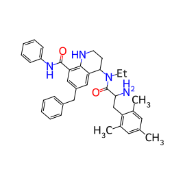 CCN(C(=O)C(N)Cc1c(C)cc(C)cc1C)C1CCNc2c(C(=O)Nc3ccccc3)cc(Cc3ccccc3)cc21